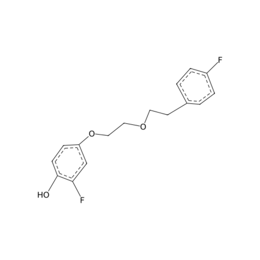 Oc1ccc(OCCOCCc2ccc(F)cc2)cc1F